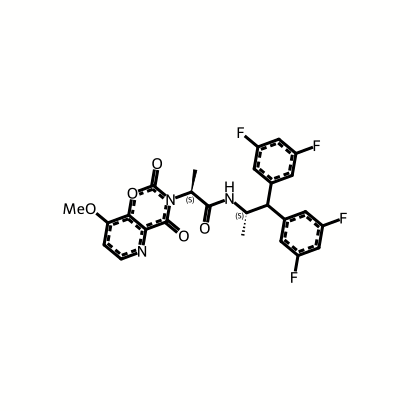 COc1ccnc2c(=O)n([C@@H](C)C(=O)N[C@@H](C)C(c3cc(F)cc(F)c3)c3cc(F)cc(F)c3)c(=O)oc12